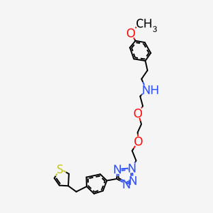 COc1ccc(CCNCCOCCOCCn2nnc(-c3ccc(CC4C=CSC4)cc3)n2)cc1